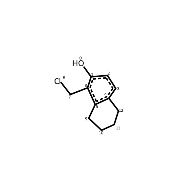 Oc1ccc2c(c1CCl)CCCC2